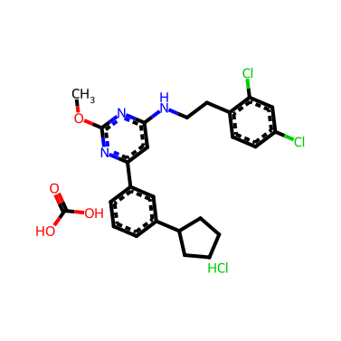 COc1nc(NCCc2ccc(Cl)cc2Cl)cc(-c2cccc(C3CCCC3)c2)n1.Cl.O=C(O)O